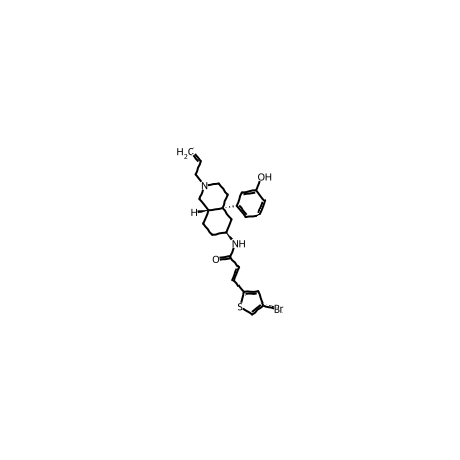 C=CCN1CC[C@@]2(c3cccc(O)c3)C[C@@H](NC(=O)/C=C/c3cc(Br)cs3)CC[C@@H]2C1